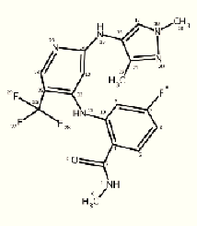 CNC(=O)c1ccc(F)cc1Nc1cc(Nc2cn(C)nc2C)ncc1C(F)(F)F